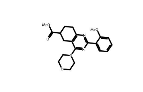 COC(=O)C1CCc2nc(-c3ccccc3OC)nc(N3CCOCC3)c2C1